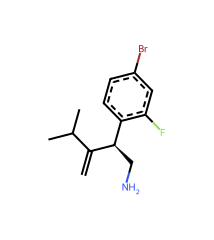 C=C(C(C)C)[C@H](CN)c1ccc(Br)cc1F